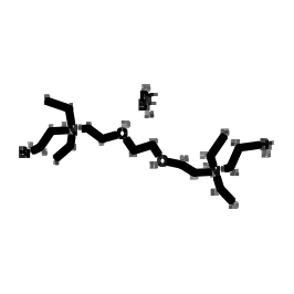 CC[N+](CC)(CCBr)CCOCCOCC[N+](CC)(CC)CCBr.[Br-].[Br-]